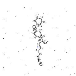 [O-][S+](/C=C/CCN=C=S)c1ccc(Oc2ccccc2)cc1